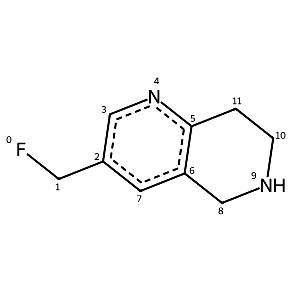 FCc1cnc2c(c1)CNCC2